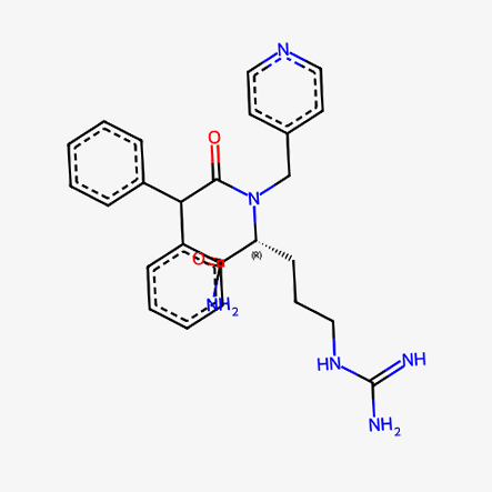 N=C(N)NCCC[C@H](C(N)=O)N(Cc1ccncc1)C(=O)C(c1ccccc1)c1ccccc1